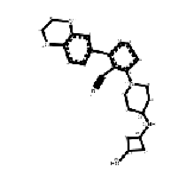 N#Cc1c(-c2ccc3c(c2)OCCO3)cccc1N1CCC(NC2CC(O)C2)CC1